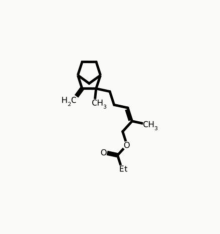 C=C1C2CCC(C2)C1(C)CC/C=C(/C)COC(=O)CC